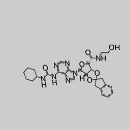 O=C(Nc1ncnc2c1ncn2[C@@H]1O[C@H](C(=O)NCCO)C2OC3(Cc4ccccc4C3)O[C@@H]21)NC1CCCCC1